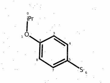 CC(C)Oc1ccc([S])cc1